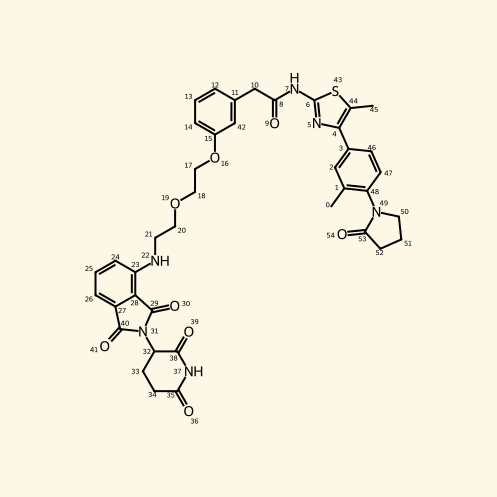 Cc1cc(-c2nc(NC(=O)Cc3cccc(OCCOCCNc4cccc5c4C(=O)N(C4CCC(=O)NC4=O)C5=O)c3)sc2C)ccc1N1CCCC1=O